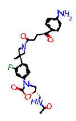 CC(=O)NC[C@H]1CN(c2ccc(C3(C)CN(C(=O)CCC(=O)c4ccc(N)cc4)C3)c(F)c2)C(=O)O1